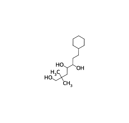 CC(C)(CO)CC(O)C(O)CCC1CCCCC1